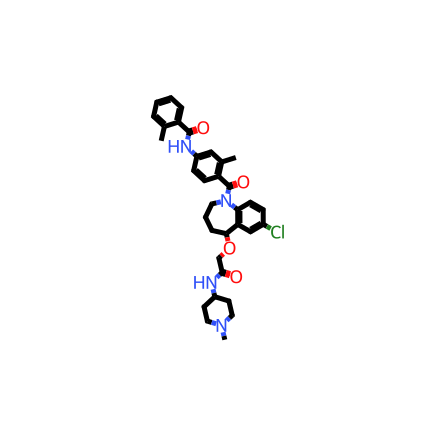 Cc1ccccc1C(=O)Nc1ccc(C(=O)N2CCCC(OCC(=O)NC3CCN(C)CC3)c3cc(Cl)ccc32)c(C)c1